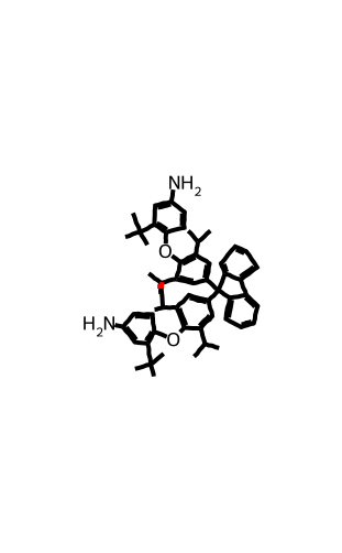 CC(C)c1cc(C2(c3cc(C(C)C)c(Oc4ccc(N)cc4C(C)(C)C)c(C(C)C)c3)c3ccccc3-c3ccccc32)cc(C(C)C)c1Oc1ccc(N)cc1C(C)(C)C